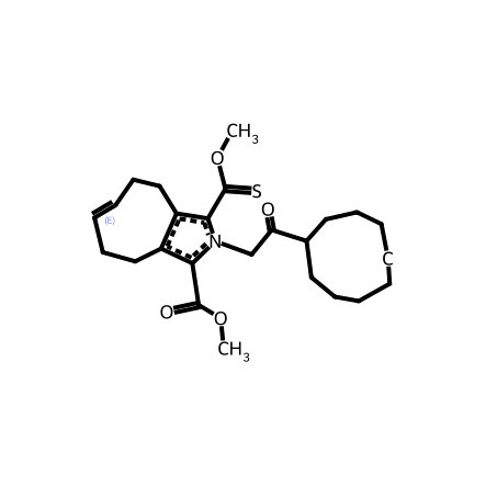 COC(=O)c1c2c(c(C(=S)OC)n1CC(=O)C1CCCCCCCC1)CC/C=C/CC2